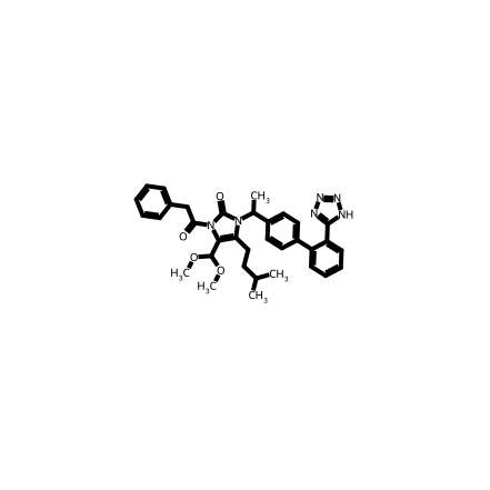 COC(OC)c1c(CCC(C)C)n(C(C)c2ccc(-c3ccccc3-c3nnn[nH]3)cc2)c(=O)n1C(=O)Cc1ccccc1